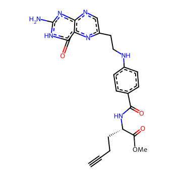 C#CCC[C@H](NC(=O)c1ccc(NCCc2cnc3nc(N)[nH]c(=O)c3n2)cc1)C(=O)OC